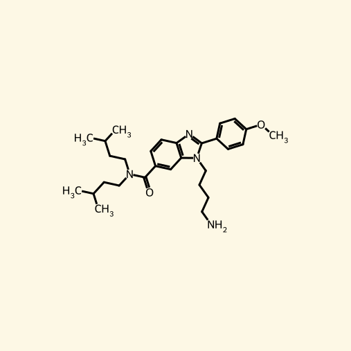 COc1ccc(-c2nc3ccc(C(=O)N(CCC(C)C)CCC(C)C)cc3n2CCCCN)cc1